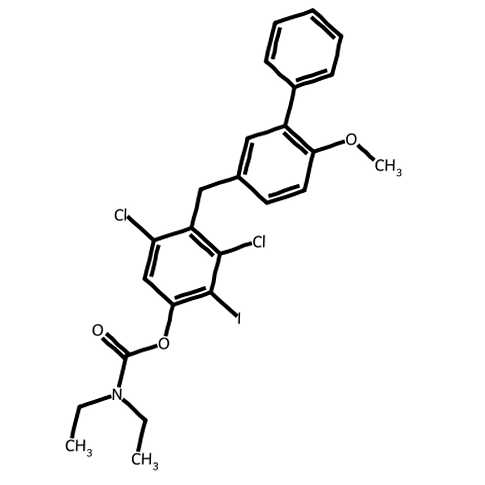 CCN(CC)C(=O)Oc1cc(Cl)c(Cc2ccc(OC)c(-c3ccccc3)c2)c(Cl)c1I